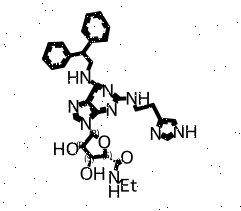 CCNC(=O)[C@H]1O[C@@H](n2cnc3c(NCC(c4ccccc4)c4ccccc4)nc(NCCc4c[nH]cn4)nc32)[C@H](O)[C@@H]1O